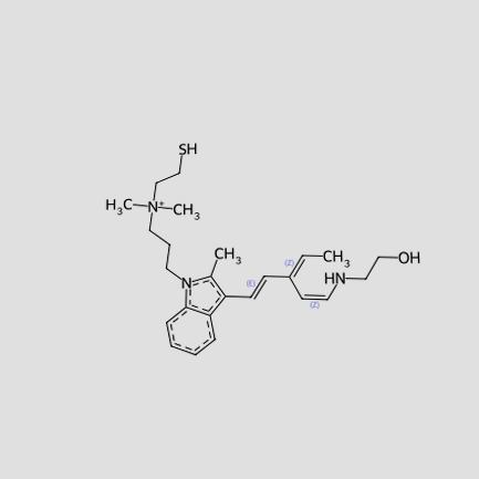 C/C=C(\C=C/NCCO)/C=C/c1c(C)n(CCC[N+](C)(C)CCS)c2ccccc12